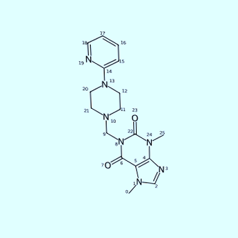 Cn1cnc2c1c(=O)n(CN1CCN(c3ccccn3)CC1)c(=O)n2C